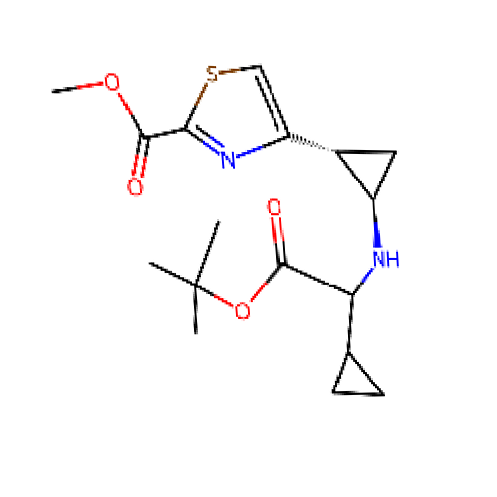 COC(=O)c1nc([C@@H]2C[C@H]2NC(C(=O)OC(C)(C)C)C2CC2)cs1